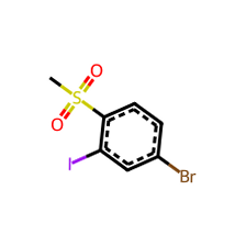 CS(=O)(=O)c1ccc(Br)cc1I